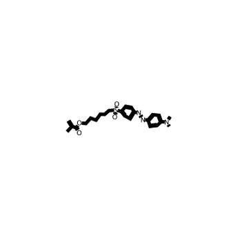 C=C(C)C(=O)OCCCCCCS(=O)(=O)c1ccc(/N=N/c2ccc(N(C)C)cc2)cc1